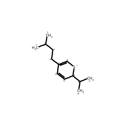 CC(C)CCC1=CSC(C(C)C)C=C1